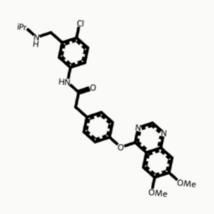 COc1cc2ncnc(Oc3ccc(CC(=O)Nc4ccc(Cl)c(CNC(C)C)c4)cc3)c2cc1OC